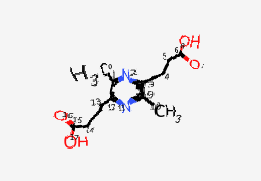 Cc1nc(CCC(=O)O)c(C)nc1CCC(=O)O